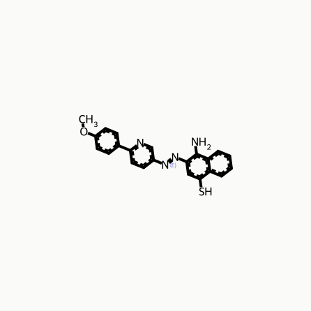 COc1ccc(-c2ccc(/N=N/c3cc(S)c4ccccc4c3N)cn2)cc1